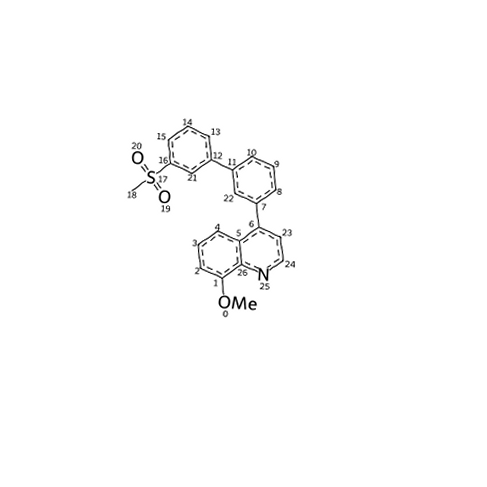 COc1cccc2c(-c3cccc(-c4cccc(S(C)(=O)=O)c4)c3)ccnc12